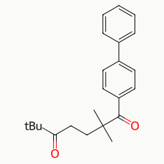 CC(C)(C)C(=O)CCC(C)(C)C(=O)c1ccc(-c2ccccc2)cc1